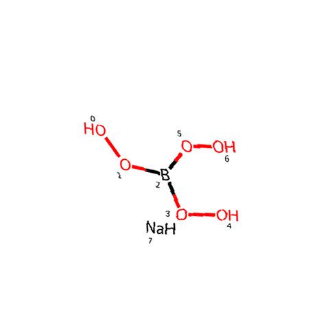 OOB(OO)OO.[NaH]